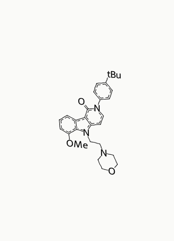 COc1cccc2c3c(=O)n(-c4ccc(C(C)(C)C)cc4)ccc3n(CCN3CCOCC3)c12